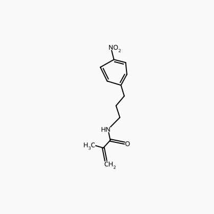 C=C(C)C(=O)NCCCc1ccc([N+](=O)[O-])cc1